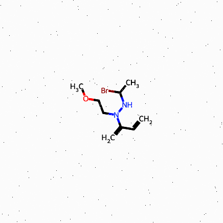 C=CC(=C)N(CCOC)NC(C)Br